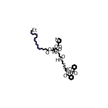 CC/C=C\C/C=C\C/C=C\C/C=C/C=C\CCCC(=O)OCC(C)(C)[C@@H](OC(=O)c1cccnc1)C(=O)NCCC(=O)NCCSSCCNC(=O)c1ccccc1OC(=O)c1ccccc1O